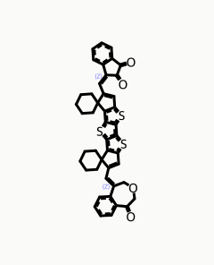 O=C1C(=O)c2ccccc2/C1=C/C1=Cc2sc3c(sc4c5c(sc43)C=C(/C=C3\COCC(=O)c4ccccc43)C53CCCCC3)c2C12CCCCC2